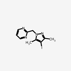 Cc1nn(Cc2ncccn2)c(C)c1I